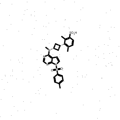 Cc1ccc(S(=O)(=O)n2ccc3c(N(C)[C@H]4C[C@@H](c5c(C)ccc(S(=O)(=O)O)c5C)C4)ncnc32)cc1